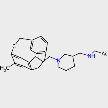 CC(=O)CNCC1CCCN(CCCc2cc3c(C)cc2CCc2ccc(cc2)CC3)C1